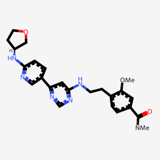 CNC(=O)c1ccc(CCNc2cc(-c3ccc(N[C@H]4CCOC4)nc3)ncn2)c(OC)c1